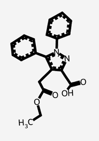 CCOC(=O)Cc1c(C(=O)O)nn(-c2ccccc2)c1-c1ccccc1